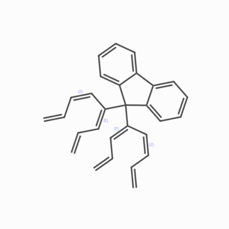 C=C/C=C\C(=C/C=C)C1(C(/C=C\C=C)=C/C=C)c2ccccc2-c2ccccc21